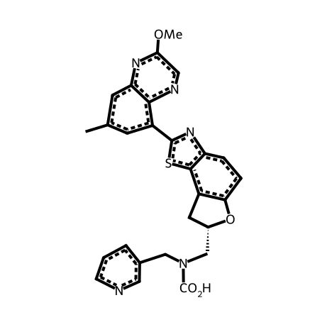 COc1cnc2c(-c3nc4ccc5c(c4s3)C[C@@H](CN(Cc3cccnc3)C(=O)O)O5)cc(C)cc2n1